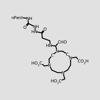 CCCCCNC(=O)NNC(=O)CCNC(C=O)N1CCN(CC(=O)O)CCN(CC(=O)O)CCN(CC(=O)O)CC1